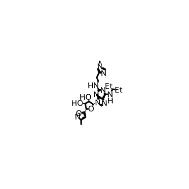 CCC(CC)Nc1nc(NCCc2cn(C)cn2)nc2c1ncn2[C@@H]1O[C@H](c2cc(C)no2)[C@@H](O)[C@H]1O